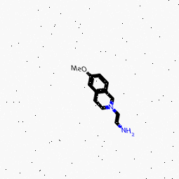 COc1ccc2c(c1)CCN(CCN)C2